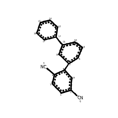 N#Cc1ccc(C#N)c(-c2cccc(-c3ccccc3)c2)c1